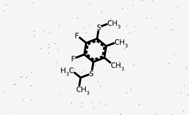 CSc1c(C)c(C)c(SC(C)C)c(F)c1F